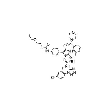 O=C(NCc1cc(Cl)ccc1-n1cnnn1)N[C@@H](Cc1cccc(C(=O)N2CCOCC2)c1)c1nc(-c2ccc(NC(=O)OCCOCI)cc2)c(Cl)[nH]1